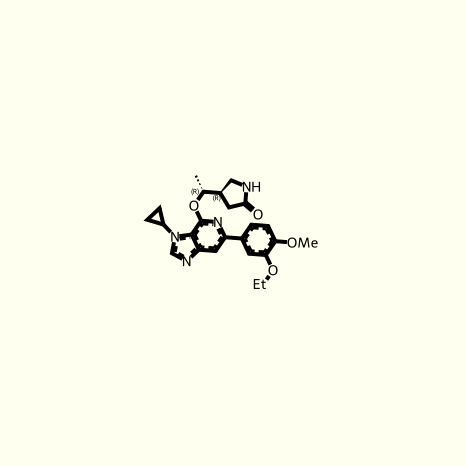 CCOc1cc(-c2cc3ncn(C4CC4)c3c(O[C@H](C)[C@H]3CNC(=O)C3)n2)ccc1OC